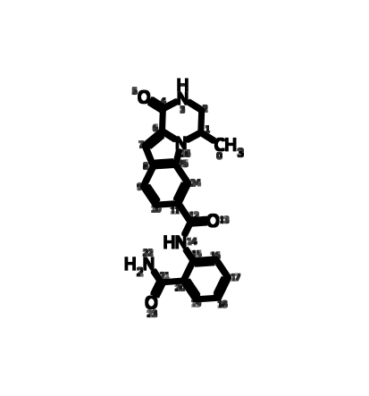 CC1CNC(=O)c2cc3ccc(C(=O)Nc4ccccc4C(N)=O)cc3n21